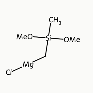 CO[Si](C)([CH2][Mg][Cl])OC